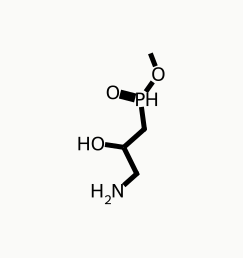 CO[PH](=O)CC(O)CN